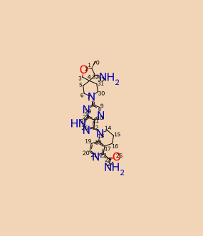 C[C@@H]1OCC2(CCN(c3cnc4c(N5CCCc6c5ccnc6C(N)=O)n[nH]c4n3)CC2)[C@@H]1N